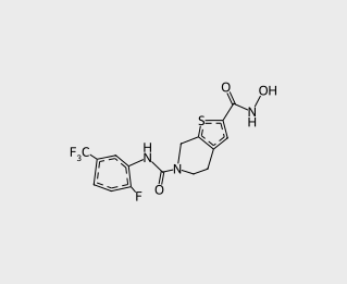 O=C(NO)c1cc2c(s1)CN(C(=O)Nc1cc(C(F)(F)F)ccc1F)CC2